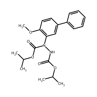 COc1ccc(-c2ccccc2)cc1N(NC(=O)OC(C)C)C(=O)OC(C)C